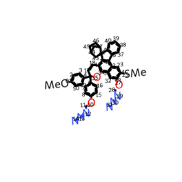 COc1ccc(C2(c3ccc(OCN=[N+]=[N-])cc3)C=Cc3c4c(c5cc(SC)c(OCN=[N+]=[N-])cc5c3O2)-c2ccccc2C42CC3CCC2C3)cc1